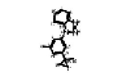 Cc1cc(-n2nnc3ccccc32)cc(C2(C)CC2)c1